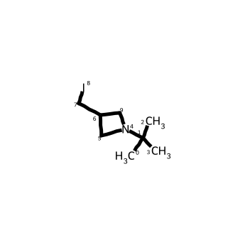 CC(C)(C)N1CC(CI)C1